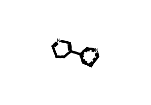 [C]1CC=NC=C1c1cccnc1